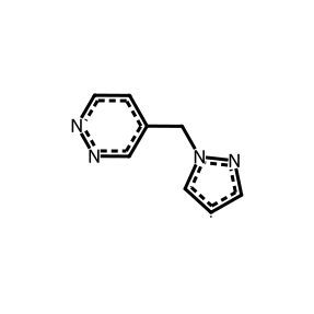 [c]1cnn(Cc2ccnnc2)c1